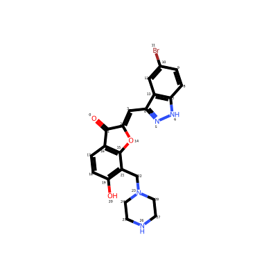 O=C1/C(=C/c2n[nH]c3ccc(Br)cc23)Oc2c1ccc(O)c2CN1CCNCC1